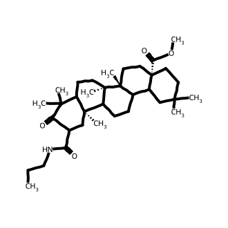 CCCNC(=O)C1C[C@@]2(C)C(CC[C@]3(C)C2CCC2C4CC(C)(C)CC[C@]4(C(=O)OC)CC[C@]23C)C(C)(C)C1=O